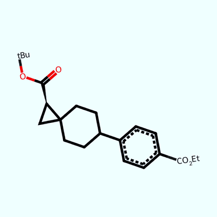 CCOC(=O)c1ccc(C2CCC3(CC2)C[C@H]3C(=O)OC(C)(C)C)cc1